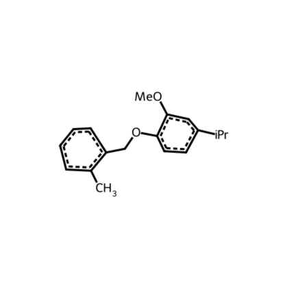 COc1cc(C(C)C)ccc1OCc1ccccc1C